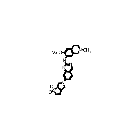 COc1cc2c(cc1Nc1ncc3ccc(N4CC5CCS(=O)(=O)C5C4)cc3n1)CN(C)CC2